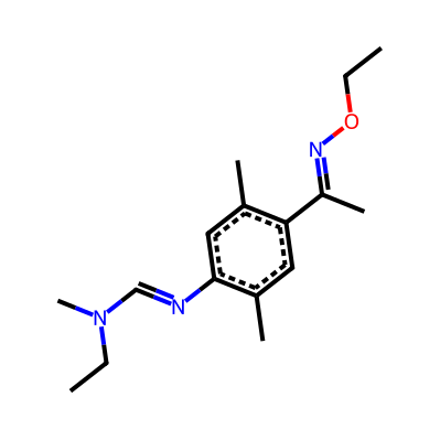 CCON=C(C)c1cc(C)c(N=CN(C)CC)cc1C